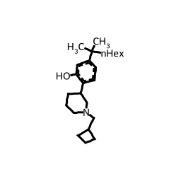 CCCCCCC(C)(C)c1ccc(C2CCCN(CC3CCC3)C2)c(O)c1